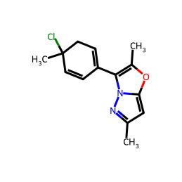 Cc1cc2oc(C)c(C3=CCC(C)(Cl)C=C3)n2n1